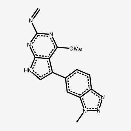 C=Nc1nc(OC)c2c(-c3ccc4nnn(C)c4c3)c[nH]c2n1